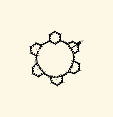 N#Cc1c2cccc1c1cccc(c1)c1cccc(n1)c1cccc(c1)c1cccc(n1)c1cccc2c1